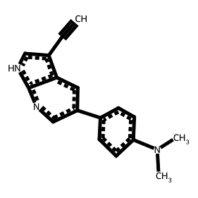 C#Cc1c[nH]c2ncc(-c3ccc(N(C)C)cc3)cc12